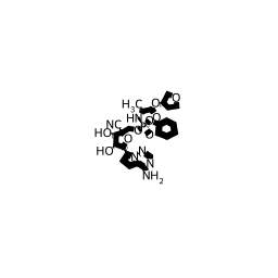 C[C@H](N[P@@](=O)(OC[C@@]1(C#N)O[C@@H](c2ccc3c(N)ncnn23)[C@H](O)[C@@H]1O)Oc1ccccc1)C(=O)O[C@H]1CCOC1